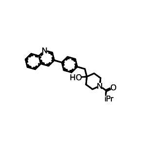 CC(C)C(=O)N1CCC(O)(Cc2ccc(-c3cnc4ccccc4c3)cc2)CC1